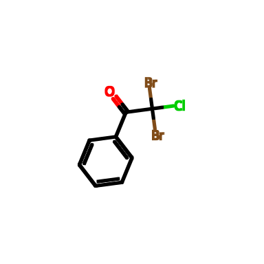 O=C(c1ccccc1)C(Cl)(Br)Br